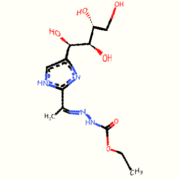 CCOC(=O)NN=C(C)c1nc([C@@H](O)[C@H](O)[C@H](O)CO)c[nH]1